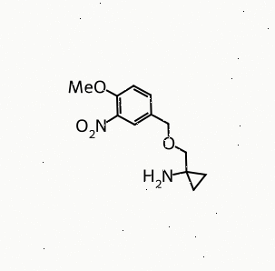 COc1ccc(COCC2(N)CC2)cc1[N+](=O)[O-]